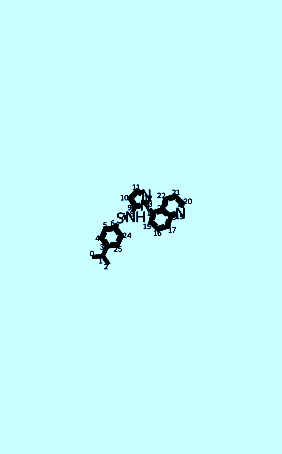 CC(C)c1ccc(SNc2ccnn2-c2cccc3ncccc23)cc1